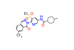 CCS(=O)(=O)c1cc(NC(=O)C2CCC(C)CC2)cnc1-n1ncc2ccc(C(F)(F)F)cc2c1=O